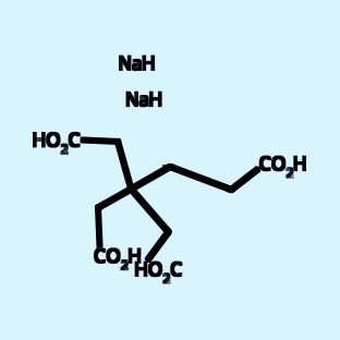 O=C(O)C[CH]C(CC(=O)O)(CC(=O)O)CC(=O)O.[NaH].[NaH]